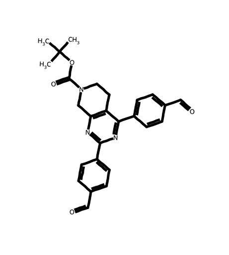 CC(C)(C)OC(=O)N1CCc2c(nc(-c3ccc(C=O)cc3)nc2-c2ccc(C=O)cc2)C1